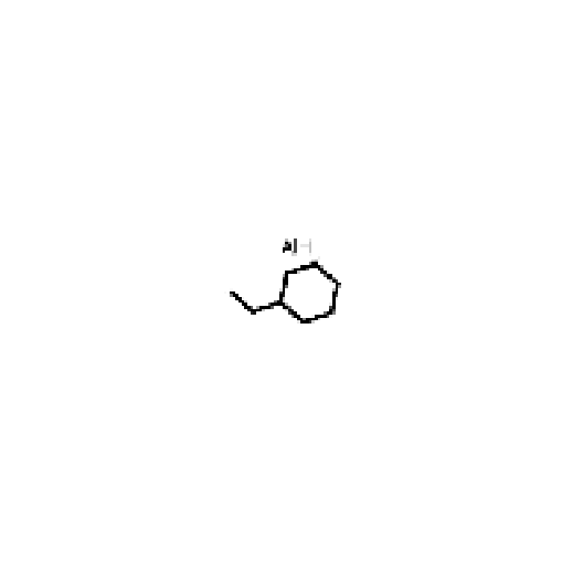 [AlH3].[CH2]CC1CCCCC1